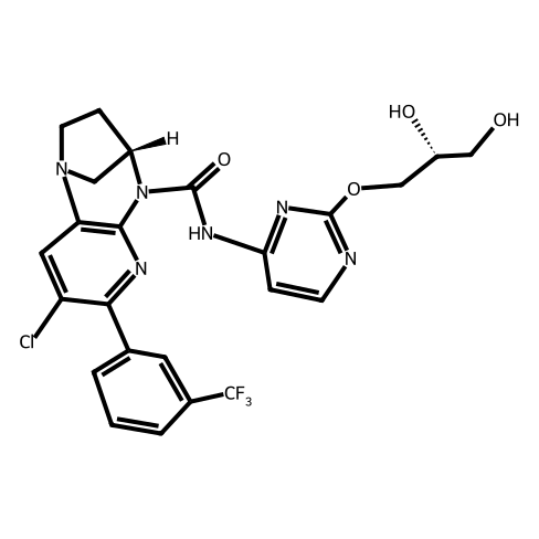 O=C(Nc1ccnc(OC[C@H](O)CO)n1)N1c2nc(-c3cccc(C(F)(F)F)c3)c(Cl)cc2N2CC[C@H]1C2